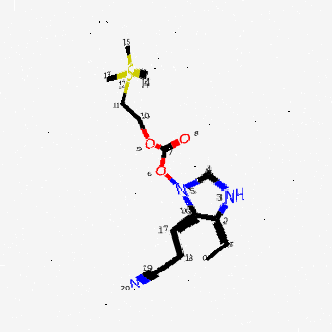 C/C=C1/NCN(OC(=O)OCCS(C)(C)C)/C1=C/CC#N